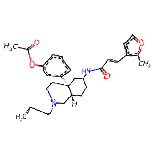 C=CCN1CC[C@@]2(c3cccc(OC(C)=O)c3)C[C@@H](NC(=O)/C=C/c3ccoc3C)CC[C@@H]2C1